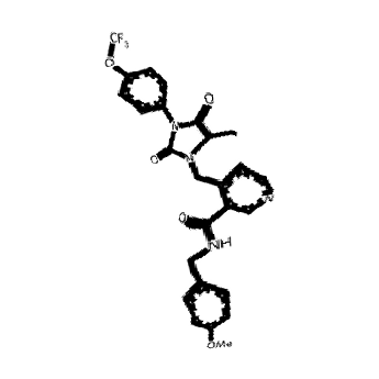 COc1ccc(CNC(=O)c2cnccc2CN2C(=O)N(c3ccc(OC(F)(F)F)cc3)C(=O)C2C)cc1